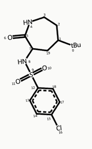 CC(C)(C)C1CCNC(=O)C(NS(=O)(=O)c2ccc(Cl)cc2)C1